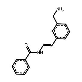 NCc1cccc(C=CNC(=O)c2ccccc2)c1